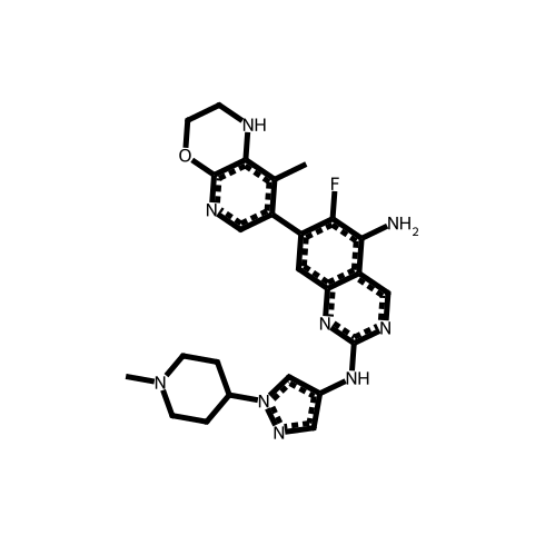 Cc1c(-c2cc3nc(Nc4cnn(C5CCN(C)CC5)c4)ncc3c(N)c2F)cnc2c1NCCO2